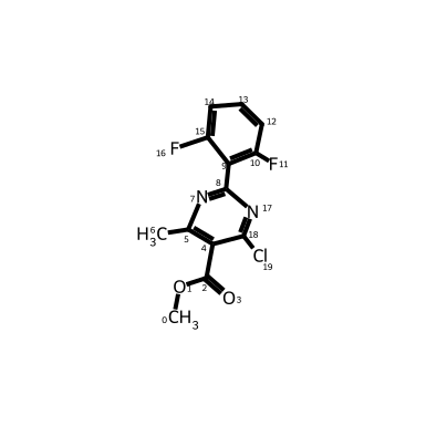 COC(=O)c1c(C)nc(-c2c(F)cccc2F)nc1Cl